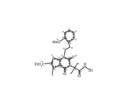 CCNC(=O)C(C)(C)n1c(=O)c2c(C)c(C(=O)OCC)sc2n(CCc2ccccc2OC)c1=O